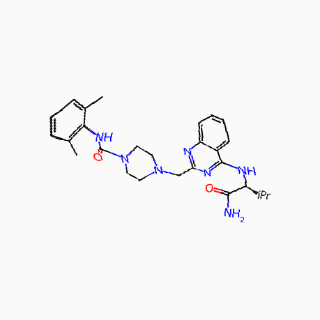 Cc1cccc(C)c1NC(=O)N1CCN(Cc2nc(N[C@H](C(N)=O)C(C)C)c3ccccc3n2)CC1